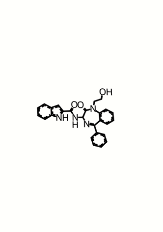 O=C(NC1N=C(c2ccccc2)c2ccccc2N(CCO)C1=O)c1cc2ccccc2[nH]1